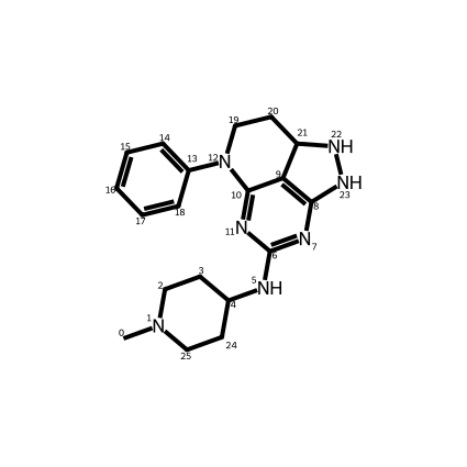 CN1CCC(Nc2nc3c4c(n2)N(c2ccccc2)CCC4NN3)CC1